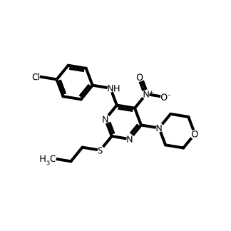 CCCSc1nc(Nc2ccc(Cl)cc2)c([N+](=O)[O-])c(N2CCOCC2)n1